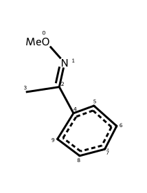 CO/N=C(\C)c1cc[c]cc1